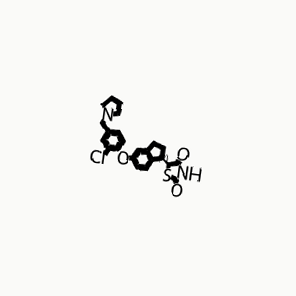 O=C1NC(=O)C([C@@H]2CCc3cc(Oc4ccc(CN5CCCC5)cc4Cl)ccc32)S1